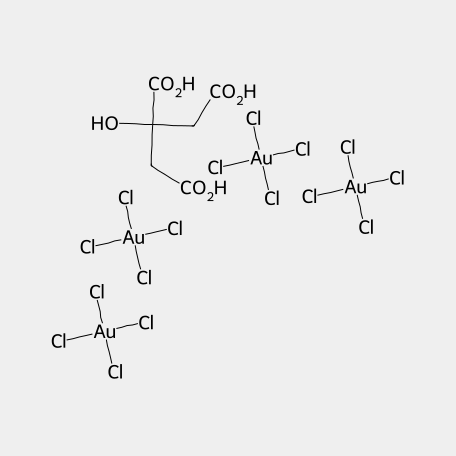 O=C(O)CC(O)(CC(=O)O)C(=O)O.[Cl][Au]([Cl])([Cl])[Cl].[Cl][Au]([Cl])([Cl])[Cl].[Cl][Au]([Cl])([Cl])[Cl].[Cl][Au]([Cl])([Cl])[Cl]